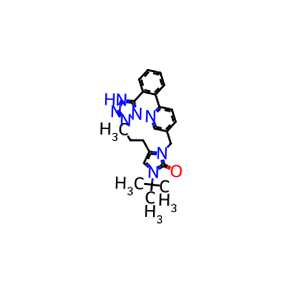 CCCc1cn(C(C)(C)C)c(=O)n1Cc1ccc(-c2ccccc2-c2nnn[nH]2)nc1